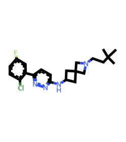 CC(C)(C)CCN1CC2(CC(Nc3ccc(-c4cc(F)ccc4Cl)nn3)C2)C1